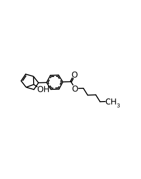 CCCCCOC(=O)c1ccc(C2CC3C=CC2C3O)cc1